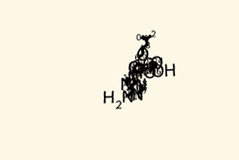 C=C(C)CCOC[C@H]1O[C@@H](n2cnc3c(N)ncnc32)C[C@@H]1OP(=O)(O)O